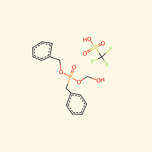 O=P(Cc1ccccc1)(OCO)OCc1ccccc1.O=S(=O)(O)C(F)(F)F